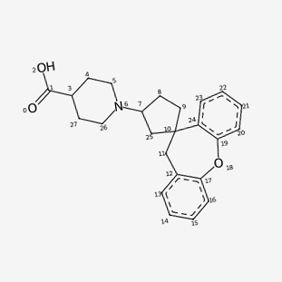 O=C(O)C1CCN(C2CCC3(Cc4ccccc4Oc4ccccc43)C2)CC1